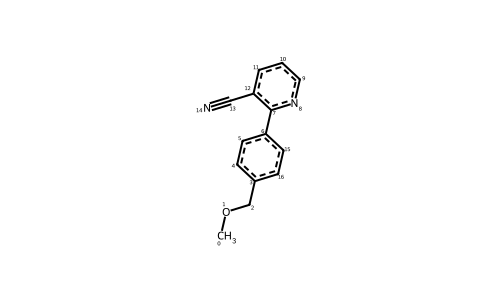 COCc1ccc(-c2ncccc2C#N)cc1